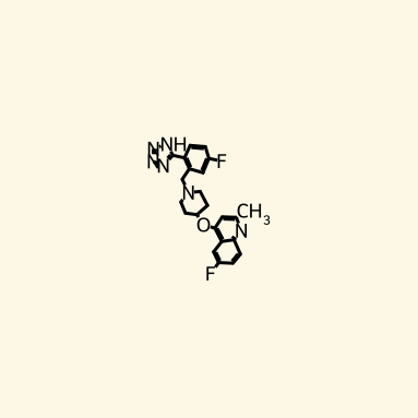 Cc1cc(OC2CCN(Cc3cc(F)ccc3-c3nnn[nH]3)CC2)c2cc(F)ccc2n1